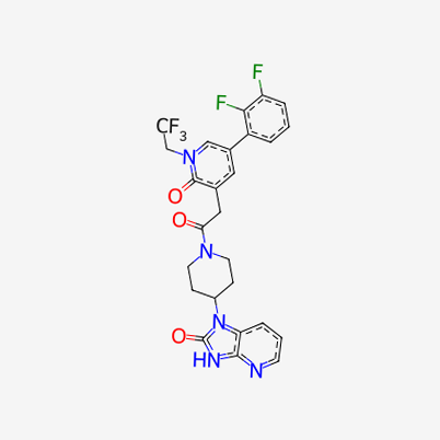 O=C(Cc1cc(-c2cccc(F)c2F)cn(CC(F)(F)F)c1=O)N1CCC(n2c(=O)[nH]c3ncccc32)CC1